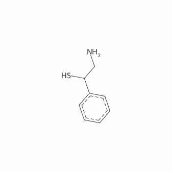 NCC(S)c1ccccc1